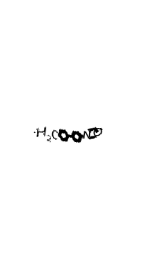 [CH2]c1ccc(-c2ccc(N3CCOCC3)cc2)cc1